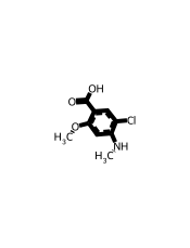 CNc1cc(OC)c(C(=O)O)cc1Cl